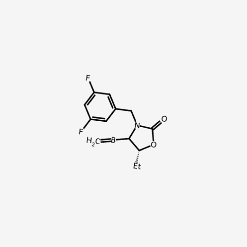 C=BC1[C@@H](CC)OC(=O)N1Cc1cc(F)cc(F)c1